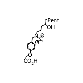 CCCCCC(O)CCCN(Cc1ccc(OCC(=O)O)cc1)S(C)(=O)=O